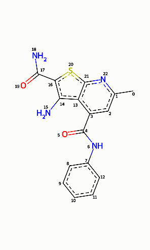 Cc1cc(C(=O)Nc2ccccc2)c2c(N)c(C(N)=O)sc2n1